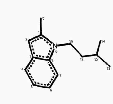 Cc1cc2ccccc2n1CCC(C)C